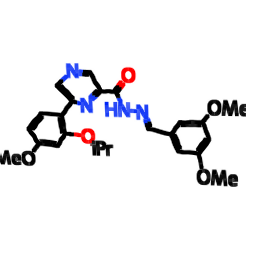 COc1cc(C=NNC(=O)c2cncc(-c3ccc(OC)cc3OC(C)C)n2)cc(OC)c1